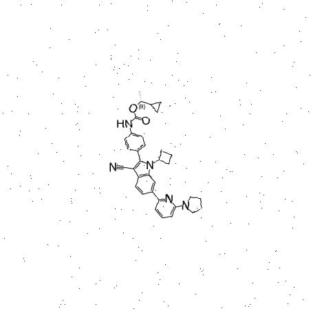 C[C@@H](OC(=O)Nc1ccc(-c2c(C#N)c3ccc(-c4cccc(N5CCCC5)n4)cc3n2C2CCC2)cc1)C1CC1